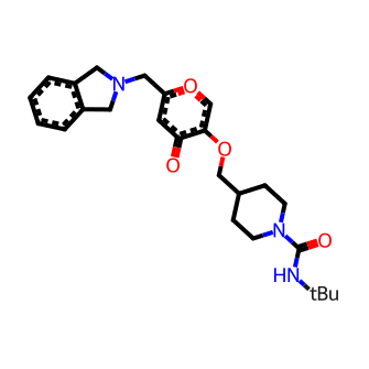 CC(C)(C)NC(=O)N1CCC(COc2coc(CN3Cc4ccccc4C3)cc2=O)CC1